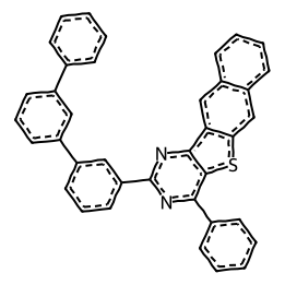 c1ccc(-c2cccc(-c3cccc(-c4nc(-c5ccccc5)c5sc6cc7ccccc7cc6c5n4)c3)c2)cc1